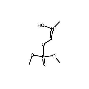 COP(=S)(OC)OC=[N+](C)O